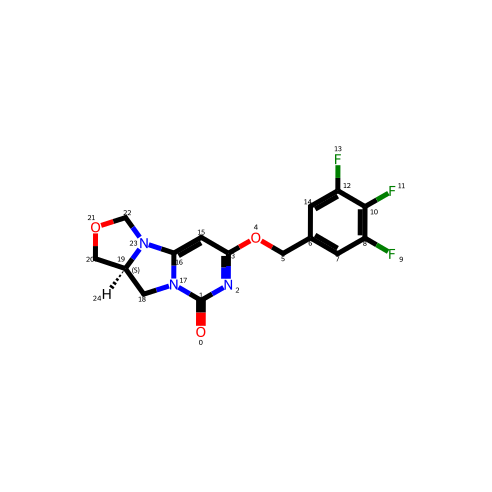 O=c1nc(OCc2cc(F)c(F)c(F)c2)cc2n1C[C@H]1COCN21